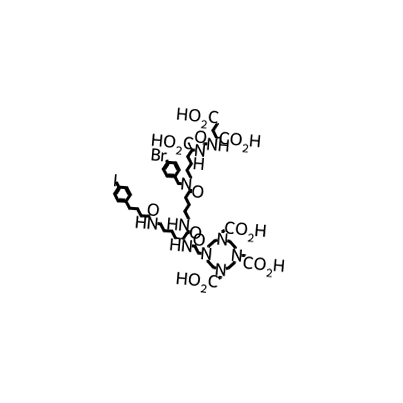 O=C(O)CC[C@H](NC(=O)N[C@@H](CCCCN(Cc1ccc(Br)cc1)C(=O)CCCCNC(=O)[C@H](CCCCNC(=O)CCCc1ccc(I)cc1)NC(=O)CN1CCN(CC(=O)O)CCN(CC(=O)O)CCN(CC(=O)O)CC1)C(=O)O)C(=O)O